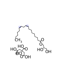 CCCCC/C=C\C/C=C\CCCCCCCC(=O)OCC(O)CO.O=C(O)CC(O)(CC(=O)O)C(=O)O